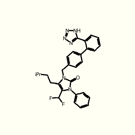 CC(C)CCc1c(C(F)F)n(-c2ccccc2)c(=O)n1Cc1ccc(-c2ccccc2-c2nnn[nH]2)cc1